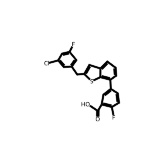 O=C(O)c1cc(-c2cccc3cc(Cc4cc(F)cc(Cl)c4)sc23)ccc1F